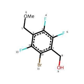 COCc1c(F)c(F)c(CO)c(Br)c1F